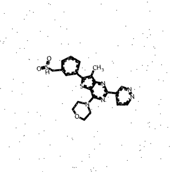 Cc1c(-c2cccc(C[SH](=O)=O)c2)sc2c(N3CCOCC3)nc(-c3ccnnc3)nc12